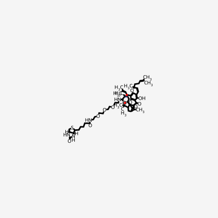 CC(C)=CCCC1(C)C=Cc2c(O)c3c(c(CC=C(C)C)c2O1)OC12C(C3=O)C(C)C3CC1C(C)(C)OC2(C/C=C(/C)C(=O)NCCOCCOCCOCCNC(=O)CCCCC1SC[C@H]2NC(=O)N[C@@H]12)C3=O